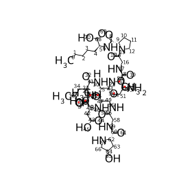 CCCCC[C@H](NC(=O)[C@@H]1CCCN1C(=O)CNC(=O)[C@H](C)NC(=O)[C@H](CC(C)C)NC(=O)[C@H](CC(C)C)NC(=O)[C@H](CC(=O)O)NC(=O)[C@H](CCC(N)=O)NC(=O)CNC(=O)[C@@H]1C[C@@H](O)CN1)C(=O)O